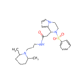 CC1CCCC(C)N1CCCNC(=O)CC1c2cccn2CCN1S(=O)(=O)c1ccccc1